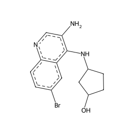 Nc1cnc2ccc(Br)cc2c1NC1CCC(O)C1